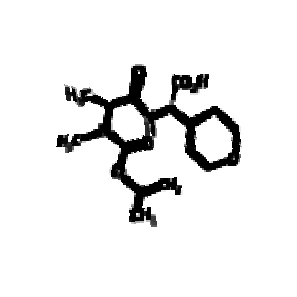 C=C(C)OC(=O)N(C)[C@@H](C)C(=O)N[C@H](C(=O)O)C1CCOCC1